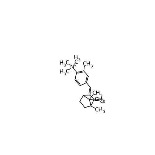 Cc1cc(C=C2C(=O)C3(C)CCC2C3(C)C)ccc1[N+](C)(C)C